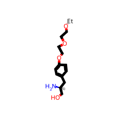 CCOCCOCCOc1ccc(C[C@H](N)CO)cc1